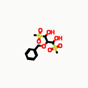 CS(=O)(=O)C(O)C(OCc1ccccc1)C(O)S(C)(=O)=O